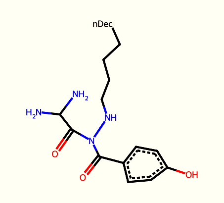 CCCCCCCCCCCCCCNN(C(=O)c1ccc(O)cc1)C(=O)C(N)N